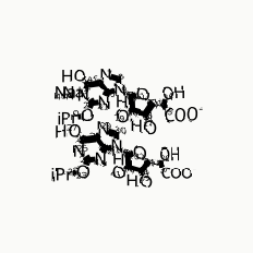 CC(C)Oc1nc(O)c2ncn([C@@H]3O[C@H](C(O)C(=O)[O-])[C@@H](O)[C@H]3O)c2n1.CC(C)Oc1nc(O)c2ncn([C@@H]3O[C@H](C(O)C(=O)[O-])[C@@H](O)[C@H]3O)c2n1.[Na+].[Na+]